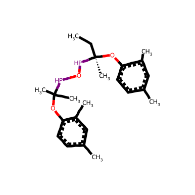 CC[C@@](C)(Oc1ccc(C)cc1C)POPC(C)(C)Oc1ccc(C)cc1C